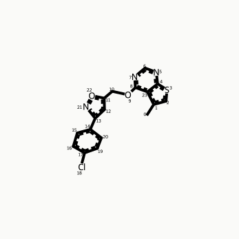 Cc1csc2ncnc(OCc3cc(-c4ccc(Cl)cc4)no3)c12